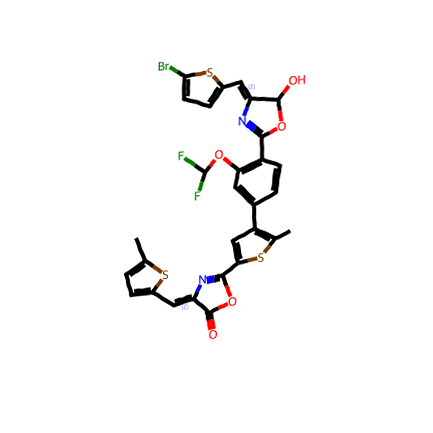 Cc1ccc(/C=C2\N=C(c3cc(-c4ccc(C5=N/C(=C\c6ccc(Br)s6)C(O)O5)c(OC(F)F)c4)c(C)s3)OC2=O)s1